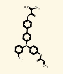 C=CC(=O)Oc1ccc(N(c2ccc(-c3ccc(OC(=O)C(=C)C)cc3)cc2)c2cccc(C)c2)cc1